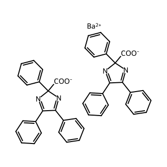 O=C([O-])C1(c2ccccc2)N=C(c2ccccc2)C(c2ccccc2)=N1.O=C([O-])C1(c2ccccc2)N=C(c2ccccc2)C(c2ccccc2)=N1.[Ba+2]